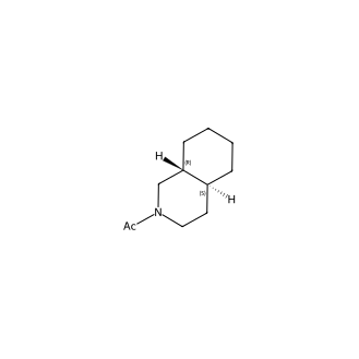 CC(=O)N1CC[C@@H]2CCCC[C@H]2C1